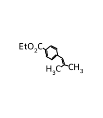 CCOC(=O)c1ccc(C=C(C)C)cc1